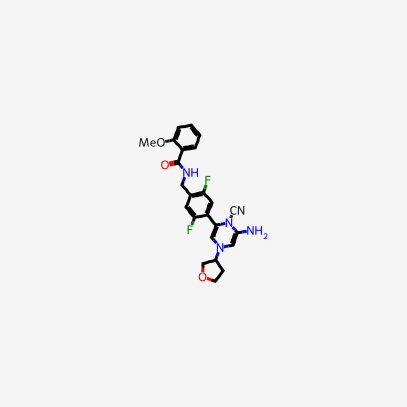 COc1ccccc1C(=O)NCc1cc(F)c(C2=CN(C3CCOC3)C=C(N)N2C#N)cc1F